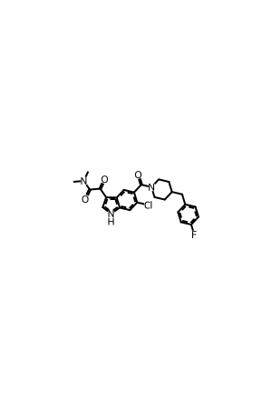 CN(C)C(=O)C(=O)c1c[nH]c2cc(Cl)c(C(=O)N3CCC(Cc4ccc(F)cc4)CC3)cc12